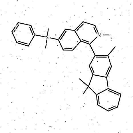 Cc1cc2c(cc1-c1c3ccc([Si](C)(C)c4ccccc4)cc3cc[n+]1C)C(C)(C)c1ccccc1-2